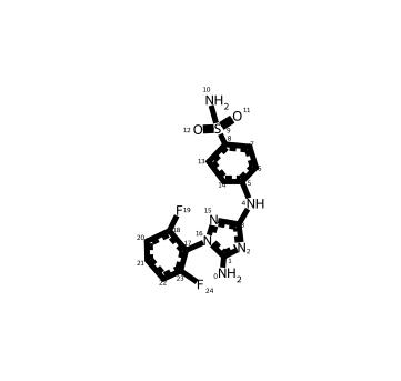 Nc1nc(Nc2ccc(S(N)(=O)=O)cc2)nn1-c1c(F)cccc1F